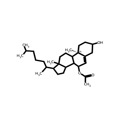 CC(=O)OC1C=C2CC(O)CC[C@]2(C)C2CCC3(C)C(C(C)CCCC(C)C)CCC3C12